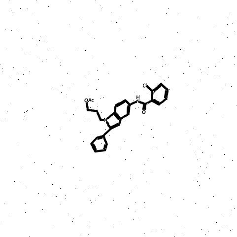 CC(=O)OCCCn1c(-c2ccccc2)cc2cc(NC(=O)c3ccccc3Cl)ccc21